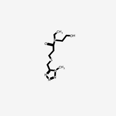 CCN(CCO)C(=O)CCSCc1nnnn1C